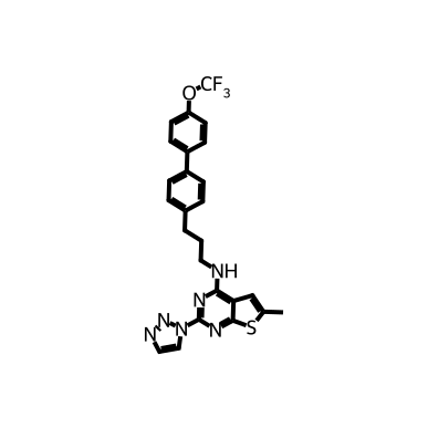 Cc1cc2c(NCCCc3ccc(-c4ccc(OC(F)(F)F)cc4)cc3)nc(-n3ccnn3)nc2s1